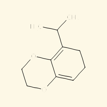 CC(C)C1=C2OCCOC2=CCC1